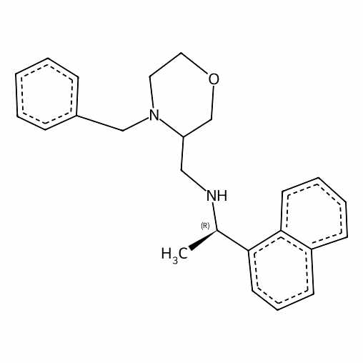 C[C@@H](NCC1COCCN1Cc1ccccc1)c1cccc2ccccc12